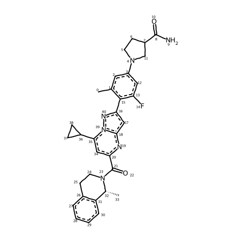 Cc1cc(N2CCC(C(N)=O)C2)cc(F)c1-c1cc2nc(C(=O)N3CCc4ccccc4[C@H]3C)cc(C3CC3)n2n1